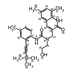 Cc1ccc(NC(=O)N(CCO)Cc2cc3cc(C)cc(C)c3[nH]c2=O)c(C#C[Si](C)(C)C)c1